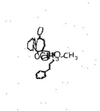 CCOP(=O)(CCCc1ccccc1)C[C@@]1(C)CCC(=O)N2CCCCN2C1=O